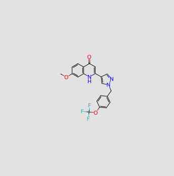 COc1ccc2c(=O)cc(-c3cnn(Cc4ccc(OC(F)(F)F)cc4)c3)[nH]c2c1